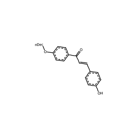 CCCCCCCCCCOc1ccc(C(=O)C=Cc2ccc(O)cc2)cc1